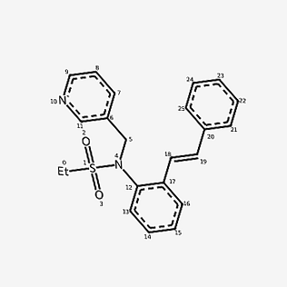 CCS(=O)(=O)N(Cc1cccnc1)c1ccccc1C=Cc1ccccc1